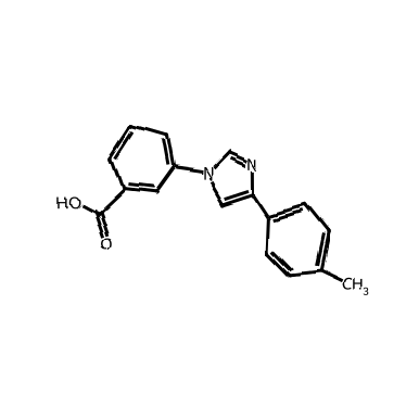 Cc1ccc(-c2cn(-c3cccc(C(=O)O)c3)cn2)cc1